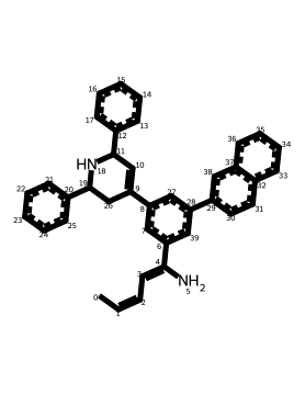 C/C=C\C=C(/N)c1cc(C2=CC(c3ccccc3)NC(c3ccccc3)C2)cc(-c2ccc3ccccc3c2)c1